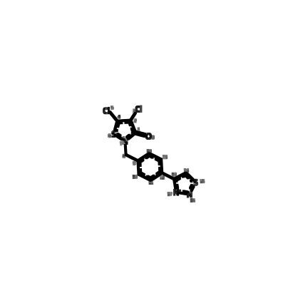 O=c1c(Cl)c(Cl)sn1Cc1ccc(-c2csnn2)cc1